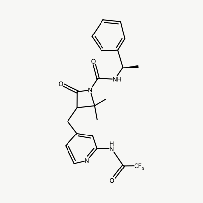 C[C@@H](NC(=O)N1C(=O)C(Cc2ccnc(NC(=O)C(F)(F)F)c2)C1(C)C)c1ccccc1